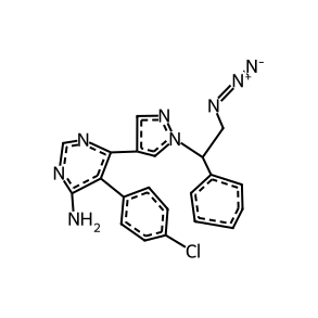 [N-]=[N+]=NCC(c1ccccc1)n1cc(-c2ncnc(N)c2-c2ccc(Cl)cc2)cn1